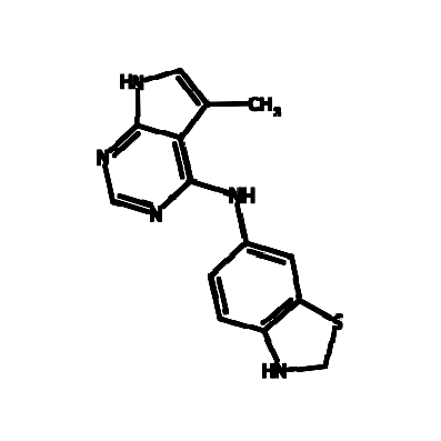 Cc1c[nH]c2ncnc(Nc3ccc4c(c3)SCN4)c12